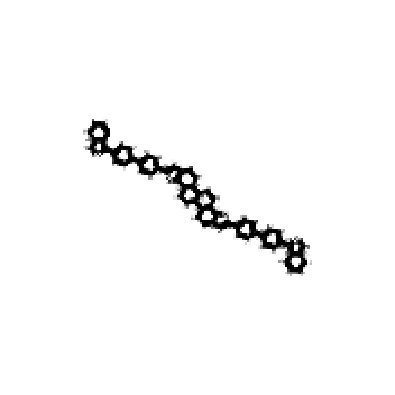 c1ccc2c(-c3ccc(-c4ccc(-c5cc6ccc7c8ccc9c(ccc%10cc(-c%11ccc(-c%12ccc(-c%13scc%14ccccc%13%14)cc%12)cc%11)sc%109)c8ccc7c6s5)cc4)cc3)scc2c1